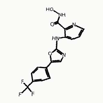 O=C(NO)c1ncccc1Nc1ncc(-c2ccc(C(F)(F)F)cc2)o1